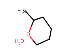 O.[SiH3]C1CCCCO1